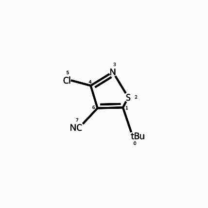 CC(C)(C)c1snc(Cl)c1C#N